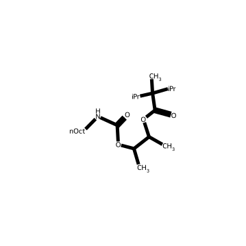 CCCCCCCCNC(=O)OC(C)C(C)OC(=O)C(C)(C(C)C)C(C)C